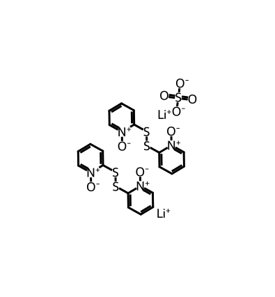 O=S(=O)([O-])[O-].[Li+].[Li+].[O-][n+]1ccccc1SSc1cccc[n+]1[O-].[O-][n+]1ccccc1SSc1cccc[n+]1[O-]